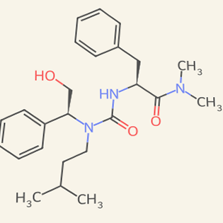 CC(C)CCN(C(=O)N[C@@H](Cc1ccccc1)C(=O)N(C)C)[C@H](CO)c1ccccc1